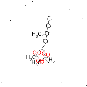 C=C(CO)C(=O)OCC(CCc1ccc(-c2ccc(-c3ccc(C4CCCC4)cc3)cc2CC)cc1)COC(=O)C(=C)COC